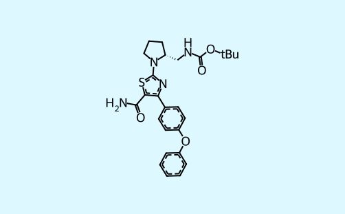 CC(C)(C)OC(=O)NC[C@H]1CCCN1c1nc(-c2ccc(Oc3ccccc3)cc2)c(C(N)=O)s1